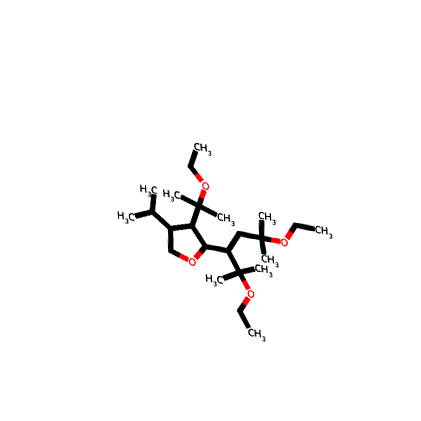 CCOC(C)(C)CC(C1OCC(C(C)C)C1C(C)(C)OCC)C(C)(C)OCC